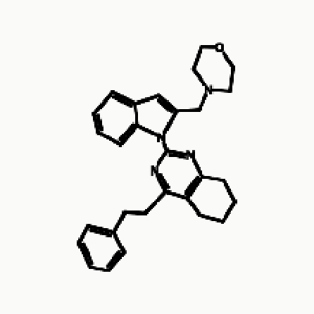 c1ccc(CCc2nc(-n3c(CN4CCOCC4)cc4ccccc43)nc3c2CCCC3)cc1